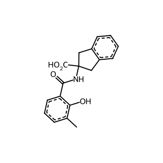 Cc1cccc(C(=O)NC2(C(=O)O)Cc3ccccc3C2)c1O